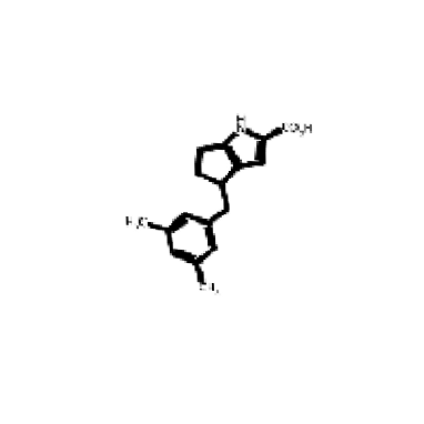 Cc1cc(C)cc(CC2CCc3[nH]c(C(=O)O)cc32)c1